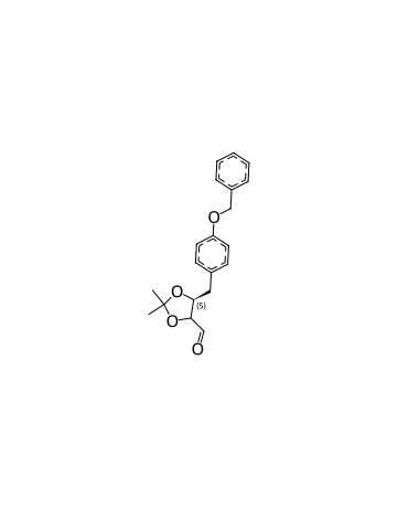 CC1(C)OC(C=O)[C@H](Cc2ccc(OCc3ccccc3)cc2)O1